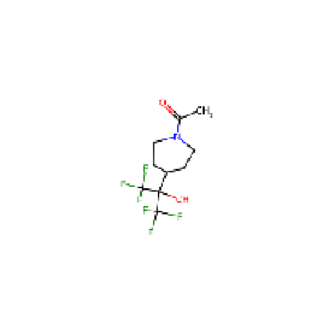 CC(=O)N1CCC(C(O)(C(F)(F)F)C(F)(F)F)CC1